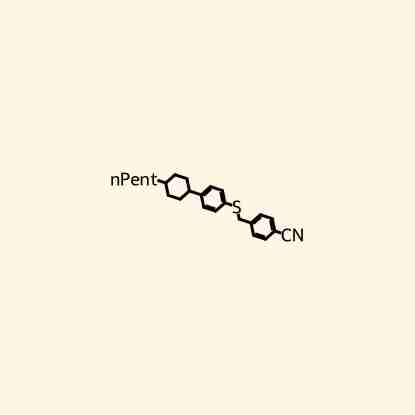 CCCCCC1CCC(c2ccc(SCc3ccc(C#N)cc3)cc2)CC1